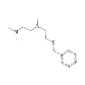 CN(C)CCN(C)CCSCc1ccccc1